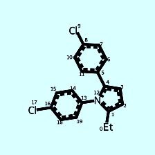 CCc1ccc(-c2ccc(Cl)cc2)n1-c1ccc(Cl)cc1